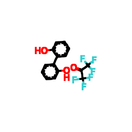 O=C(C(F)(F)F)C(F)(F)F.Oc1ccccc1-c1ccccc1O